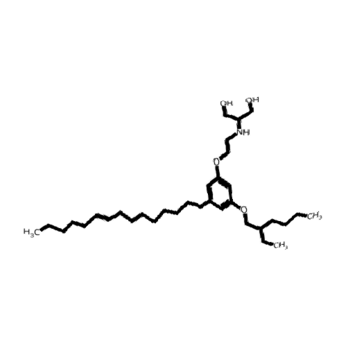 CCCCCCCCCCCCCCCc1cc(OCCNC(CO)CO)cc(OCC(CC)CCCC)c1